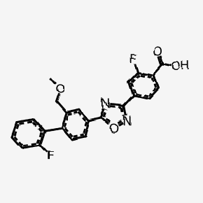 COCc1cc(-c2nc(-c3ccc(C(=O)O)c(F)c3)no2)ccc1-c1ccccc1F